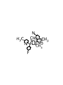 CC[C@@H]1CN(c2nc(=O)n(C)c3ccc(C#N)nc23)[C@@H](C)CN1C(c1ccc(F)cc1)c1ccc(C)cn1